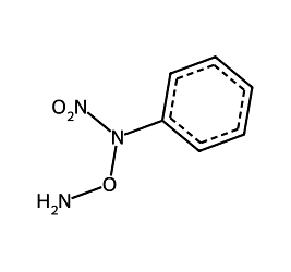 NON(c1ccccc1)[N+](=O)[O-]